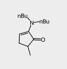 CCCCN(CCCC)C1=CCC(C)C1=O